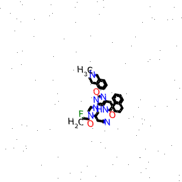 C=C(F)C(=O)N1CCN(c2nc(Oc3cccc4c3CCN(C)C4)nc3c2NC(=O)C2(CCCc4ccccc42)C3)CC1CC#N